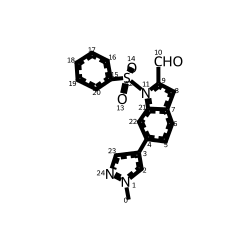 Cn1cc(-c2ccc3cc(C=O)n(S(=O)(=O)c4ccccc4)c3c2)cn1